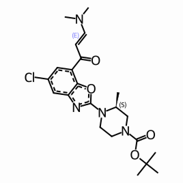 C[C@H]1CN(C(=O)OC(C)(C)C)CCN1c1nc2cc(Cl)cc(C(=O)/C=C/N(C)C)c2o1